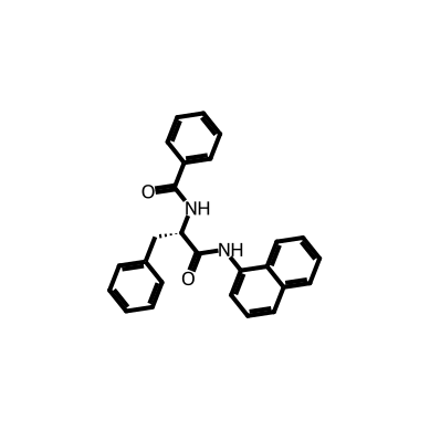 O=C(N[C@@H](Cc1ccccc1)C(=O)Nc1cccc2ccccc12)c1ccccc1